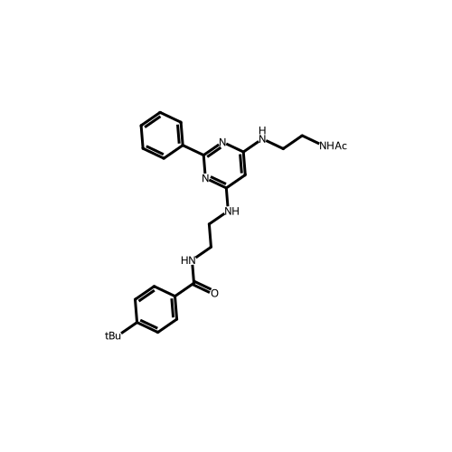 CC(=O)NCCNc1cc(NCCNC(=O)c2ccc(C(C)(C)C)cc2)nc(-c2ccccc2)n1